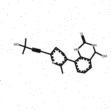 Cc1nc(C#CC(C)(C)O)ccc1-c1cccc2c1NC(=O)NC2O